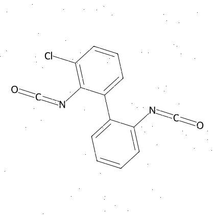 O=C=Nc1ccccc1-c1cccc(Cl)c1N=C=O